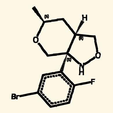 C[C@H]1C[C@H]2CON[C@@]2(c2cc(Br)ccc2F)CO1